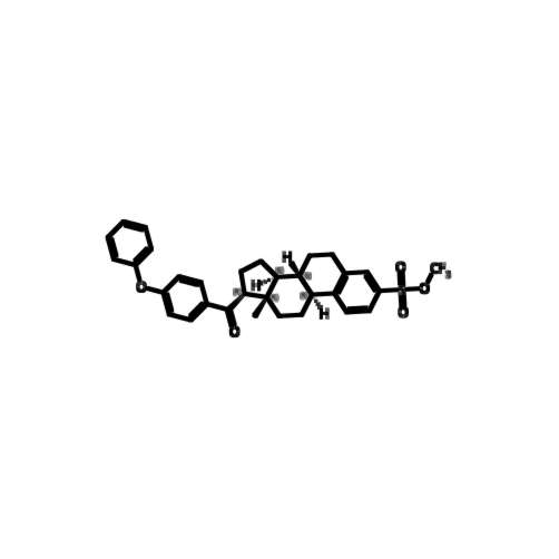 C[C@]12CC[C@@H]3c4ccc(S(=O)(=O)OC(F)(F)F)cc4CC[C@H]3[C@@H]1CC[C@@H]2C(=O)c1ccc(Oc2ccccc2)cc1